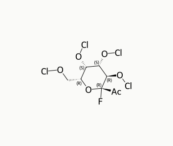 CC(=O)[C@@]1(F)O[C@H](COCl)[C@H](OCl)[C@H](OCl)[C@H]1OCl